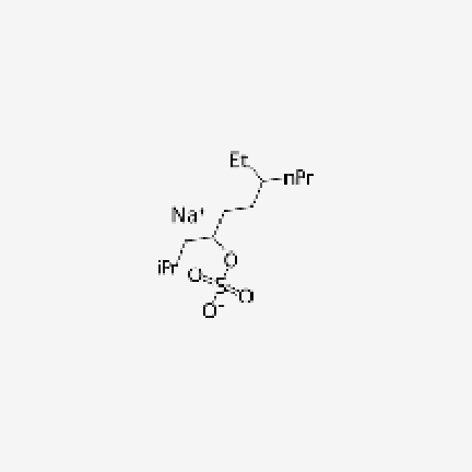 CCCC(CC)CCC(CC(C)C)OS(=O)(=O)[O-].[Na+]